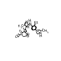 CCc1cc(N2CCN[C@H](C)C2)ccc1Nc1ncc(C(F)(F)F)c(-c2cc3c(s2)C(=O)N(C2COC2)CCS3(=O)=O)n1